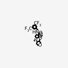 CC1COCCC1N(C)C1CCC(C(=O)NCc2cc(C(F)(F)F)cc(C(F)(F)F)c2)(S(C)(=O)=O)C1